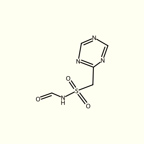 O=CNS(=O)(=O)Cc1ncncn1